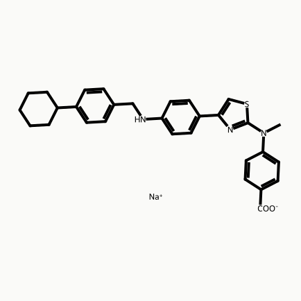 CN(c1ccc(C(=O)[O-])cc1)c1nc(-c2ccc(NCc3ccc(C4CCCCC4)cc3)cc2)cs1.[Na+]